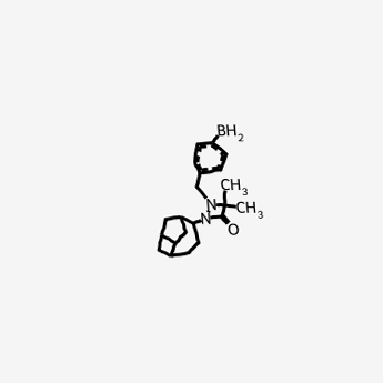 Bc1ccc(CN2N(C3CCC4CC5CC3CC45)C(=O)C2(C)C)cc1